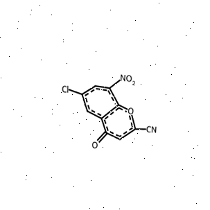 N#Cc1cc(=O)c2cc(Cl)cc([N+](=O)[O-])c2o1